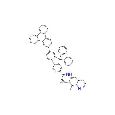 Cc1c(/C=C\C(=N)c2ccc3c(c2)C(c2ccccc2)(c2ccccc2)c2cc(-c4ccc5c6ccccc6c6ccccc6c5c4)ccc2-3)ccc2cccnc12